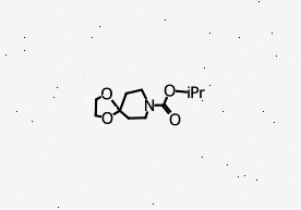 CC(C)OC(=O)N1CCC2(CC1)OCCO2